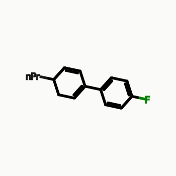 CCCC1C=CC(c2ccc(F)cc2)=CC1